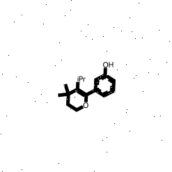 CC(C)C1=C(c2cccc(O)c2)OCCC1(C)C